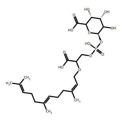 CC(C)=CCC/C(C)=C/CC/C(C)=C\COC(COP(=O)(O)O[C@H]1OC(C(=O)O)[C@H](O)[C@H](O)C1O)C(=O)O